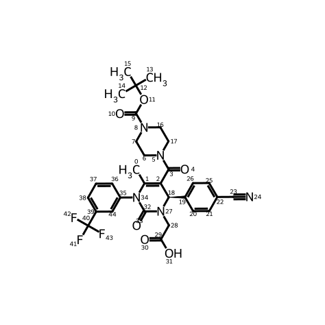 CC1=C(C(=O)N2CCN(C(=O)OC(C)(C)C)CC2)[C@@H](c2ccc(C#N)cc2)N(CC(=O)O)C(=O)N1c1cccc(C(F)(F)F)c1